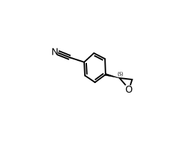 N#Cc1ccc([C@H]2CO2)cc1